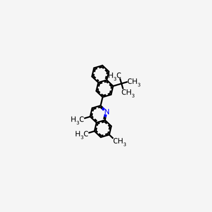 Cc1cc(C)c2c(C)cc(-c3cc(C(C)(C)C)c4ccccc4c3)nc2c1